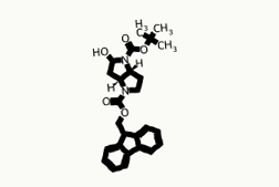 CC(C)(C)OC(=O)N1C(O)C[C@H]2[C@H]1CCN2C(=O)OCC1c2ccccc2-c2ccccc21